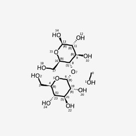 CO.OC[C@H]1O[C@H](O[C@H]2[C@H](O)[C@@H](O)[C@H](O)O[C@@H]2CO)[C@H](O)[C@@H](O)[C@@H]1O